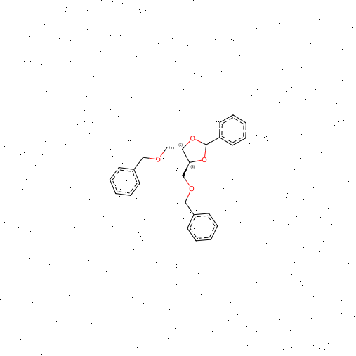 c1ccc(COC[C@@H]2OC(c3ccccc3)O[C@H]2COCc2ccccc2)cc1